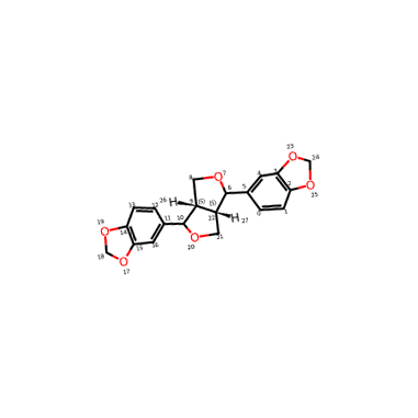 c1cc2c(cc1C1OC[C@H]3C(c4ccc5c(c4)OCO5)OC[C@@H]13)OCO2